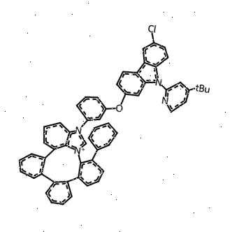 CC(C)(C)c1ccnc(-n2c3ccc(Cl)cc3c3ccc(Oc4cccc(-n5c[n+]6c7c(cccc75)-c5ccccc5-c5ccccc5-c5cccc(-c7ccccc7)c5-6)c4)cc32)c1